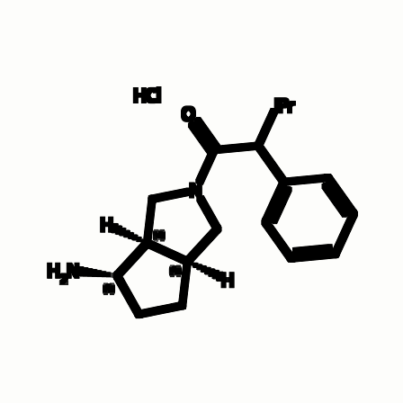 CC(C)C(C(=O)N1C[C@H]2CC[C@H](N)[C@H]2C1)c1ccccc1.Cl